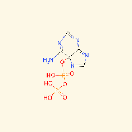 NC1=NC=NC2=NC=NC12OP(=O)(O)OP(=O)(O)O